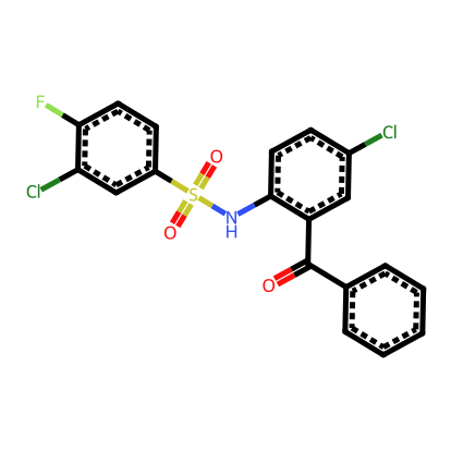 O=C(c1ccccc1)c1cc(Cl)ccc1NS(=O)(=O)c1ccc(F)c(Cl)c1